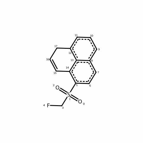 O=S(=O)(CF)c1ccc2cccc3c2c1C=CC3